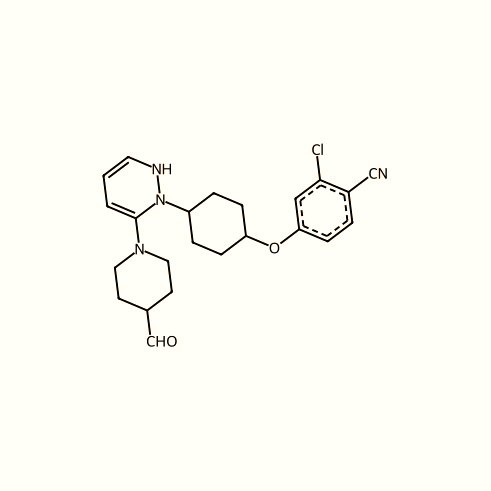 N#Cc1ccc(OC2CCC(N3NC=CC=C3N3CCC(C=O)CC3)CC2)cc1Cl